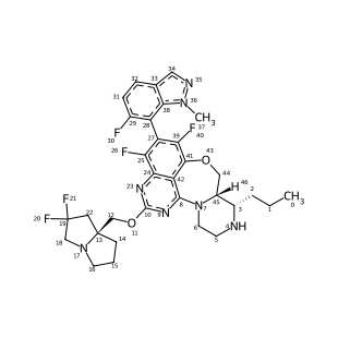 CCC[C@@H]1NCCN2c3nc(OC[C@@]45CCCN4CC(F)(F)C5)nc4c(F)c(-c5c(F)ccc6cnn(C)c56)c(F)c(c34)OC[C@H]12